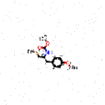 CCCCOc1ccc(C[C@@H](CSCC)NC(=O)OC(C)(C)C)cc1